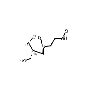 OC[C@@H](CN(Cl)CCNCl)NCl